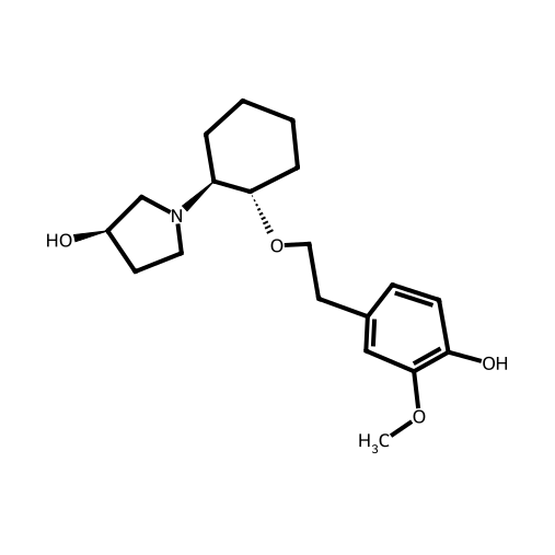 COc1cc(CCO[C@H]2CCCC[C@@H]2N2CC[C@@H](O)C2)ccc1O